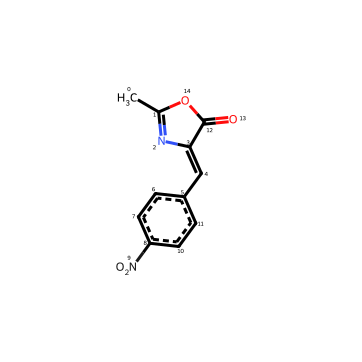 CC1=N/C(=C\c2ccc([N+](=O)[O-])cc2)C(=O)O1